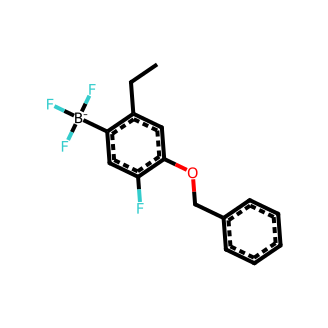 CCc1cc(OCc2ccccc2)c(F)cc1[B-](F)(F)F